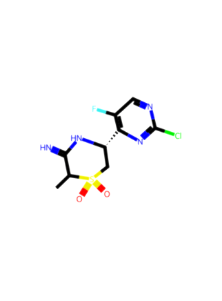 CC1C(=N)N[C@H](c2nc(Cl)ncc2F)CS1(=O)=O